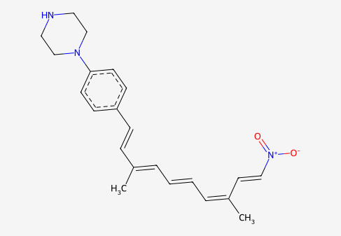 CC(C=Cc1ccc(N2CCNCC2)cc1)=CC=CC=C(C)C=C[N+](=O)[O-]